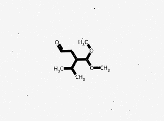 COC(OC)C(CC=O)C(C)C